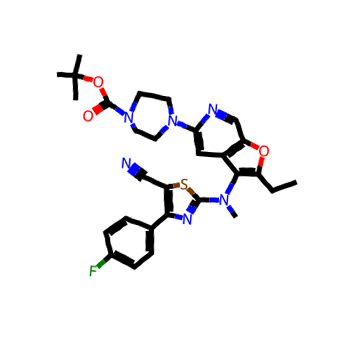 CCc1oc2cnc(N3CCN(C(=O)OC(C)(C)C)CC3)cc2c1N(C)c1nc(-c2ccc(F)cc2)c(C#N)s1